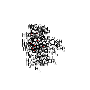 Cc1cc(S)c(C(C)(C)C)cc1-c1cc(C(C)(C)C)c(C(CCCCN(C(N)=O)N(C)CCO)(c2cc(C)c(-c3cc(C(C)(C)C)c(S)cc3C)cc2C(C)(C)C)C(c2cc(C)c(-c3cc(C(C)(C)C)c(S)cc3C)cc2C(C)(C)C)(c2cc(C)c(-c3cc(C(C)(C)C)c(S)cc3C)cc2C(C)(C)C)N(C(N)=O)N(C)CCO)cc1C